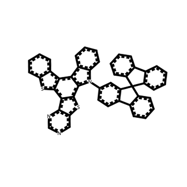 c1ccc2c(c1)-c1ccccc1C21c2ccccc2-c2ccc(-n3c4ccccc4c4c5c6ccccc6sc5c5c6ncncc6sc5c43)cc21